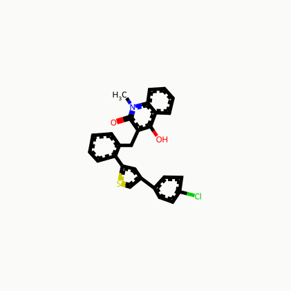 Cn1c(=O)c(Cc2ccccc2-c2cc(-c3ccc(Cl)cc3)cs2)c(O)c2ccccc21